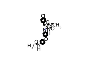 CCn1c(=O)[nH]/c(=N\c2ccc(Oc3ccc(NC(C)=O)cc3)cc2)n(Cc2ccc(Cl)cc2)c1=O